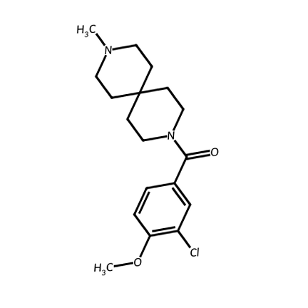 COc1ccc(C(=O)N2CCC3(CCN(C)CC3)CC2)cc1Cl